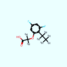 [2H]C([2H])(Oc1cc(F)cc(F)c1C([2H])([2H])C([2H])([2H])[2H])C(=O)O